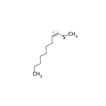 CCCCCCC/C=[C]\SC